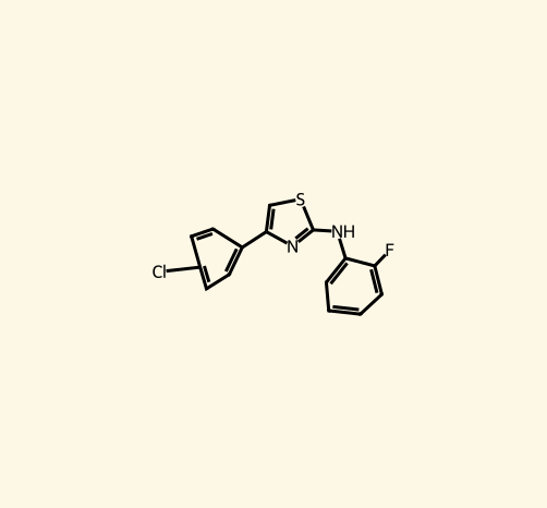 Fc1ccccc1Nc1nc(-c2ccc(Cl)cc2)cs1